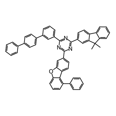 CC1(C)c2ccccc2-c2ccc(-c3nc(-c4cccc(-c5ccc(-c6ccccc6)cc5)c4)nc(-c4ccc5c(c4)oc4cccc(-c6ccccc6)c45)n3)cc21